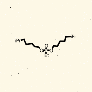 CCP(=O)(OCCCCCC(C)C)OCCCCCC(C)C